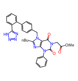 CCCCc1nc2c(c(=O)n(CC(=O)OC)c(=O)n2-c2ccccc2)n1Cc1ccc(-c2ccccc2-c2nnn[nH]2)cc1